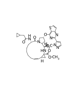 COC(=O)[C@@]12C[C@H]1/C=C\CCCCC[C@H](NC(=O)CC1CC1)C(=O)N1C[C@H](Oc3nc(-c4ccnn4C)nc4ccsc34)C[C@H]1C(=O)N2